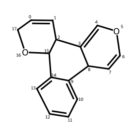 C1=CC2C3=COC=CC3c3ccccc3C2OC1